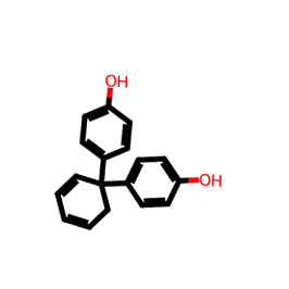 Oc1ccc(C2(c3ccc(O)cc3)C=CC=CC2)cc1